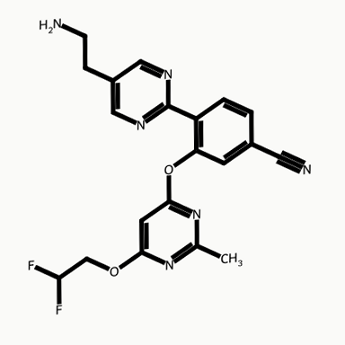 Cc1nc(OCC(F)F)cc(Oc2cc(C#N)ccc2-c2ncc(CCN)cn2)n1